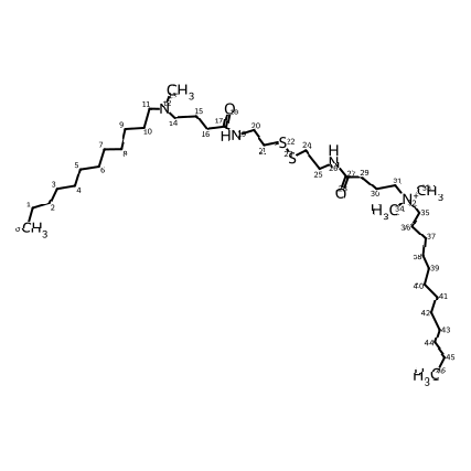 CCCCCCCCCCCCN(C)CCCC(=O)NCCSSCCNC(=O)CCC[N+](C)(C)CCCCCCCCCCCC